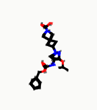 CC(C)Oc1nn(C2CC3(C2)CN(C(=O)O)C3)cc1NC(=O)OCc1ccccc1